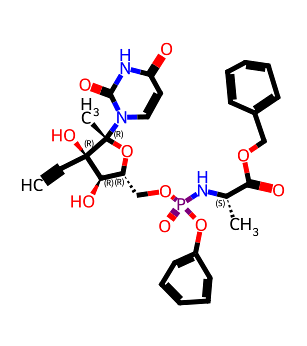 C#C[C@@]1(O)[C@H](O)[C@@H](COP(=O)(N[C@@H](C)C(=O)OCc2ccccc2)Oc2ccccc2)O[C@@]1(C)n1ccc(=O)[nH]c1=O